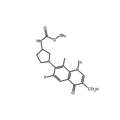 CCn1cc(C(=O)O)c(=O)c2cc(F)c(N3CCC(NC(=O)OC(C)(C)C)C3)c(C)c21